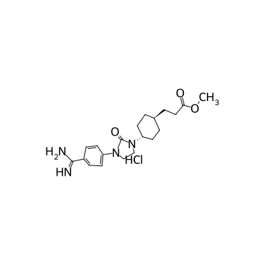 COC(=O)CC[C@H]1CC[C@H](N2CCN(c3ccc(C(=N)N)cc3)C2=O)CC1.Cl